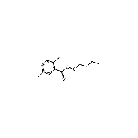 [CH2]CCCOOC(=O)c1cc(C)ccc1C